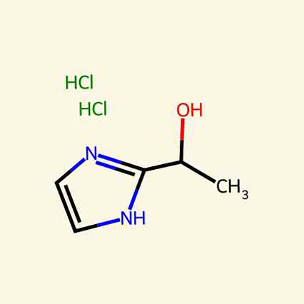 CC(O)c1ncc[nH]1.Cl.Cl